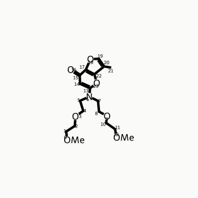 COCCOCCN(CCOCCOC)c1cc(=O)c2occ(C)c2o1